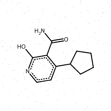 NC(=O)c1c(C2CCCC2)ccnc1O